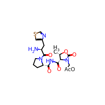 CC(=O)OCN1C(=O)O[C@@H](C)[C@H]1C(=O)NC(=O)[C@@H]1CCCN1C(=O)[C@@H](N)Cc1cscn1